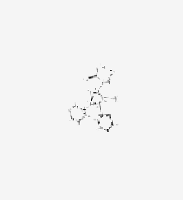 O=CC(C(=O)O)c1nn(-c2ccccc2)c(-c2ccccc2)c1Br